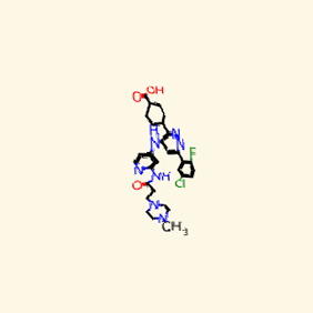 CN1CCN(CCC(=O)Nc2cc(Nc3cc(-c4cc(Cl)ccc4F)nnc3C3CCC(C(=O)O)CC3)ccn2)CC1